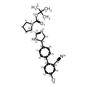 CC(C)(C)OC(=O)N1CCC[C@H]1C1=NCC(c2ccc(-c3ccc(Cl)cc3C#N)cc2)N1